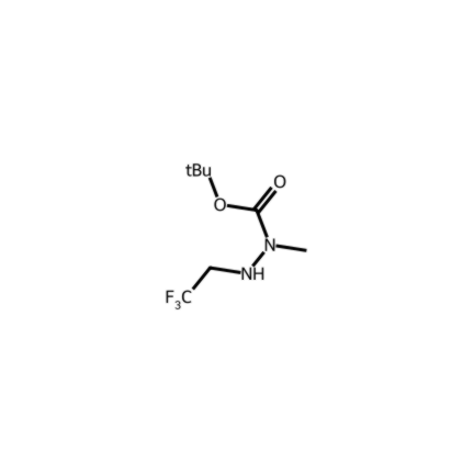 CN(NCC(F)(F)F)C(=O)OC(C)(C)C